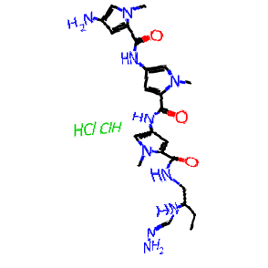 CCC(CNC(=O)c1cc(NC(=O)c2cc(NC(=O)c3cc(N)cn3C)cn2C)cn1C)NC=NN.Cl.Cl